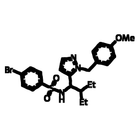 CCC(CC)C(NS(=O)(=O)c1ccc(Br)cc1)c1ccnn1Cc1ccc(OC)cc1